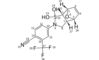 C[C@@]12[C@@H]3C=C[C@@H](O3)[C@@H]1CN(c1ccc(C#N)c(C(F)(F)F)c1)S2(O)O